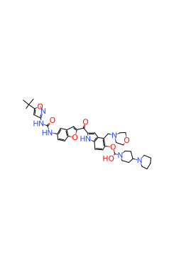 CC(C)(C)c1cc(NC(=O)Nc2ccc3oc(C(=O)c4cc5c(CN6CCOCC6)c(OC(O)N6CCC(N7CCCCC7)CC6)ccc5[nH]4)cc3c2)no1